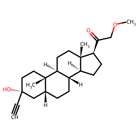 C#C[C@@]1(O)CC[C@@]2(C)[C@H](CC[C@@H]3[C@@H]2CC[C@]2(C)[C@@H](C(=O)COC)CC[C@@H]32)C1